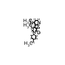 CCC1=CCC(n2cnc3c(sc4nccc(N(C)C)c43)c2=O)C=C1